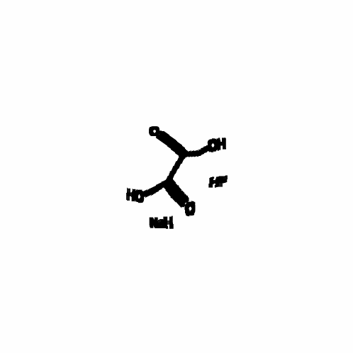 F.O=C(O)C(=O)O.[NaH]